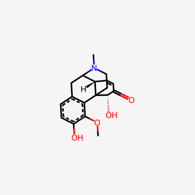 COc1c(O)ccc2c1C13CCN(C)C(C2)[C@@H]1C=CC(=O)[C@@H]3O